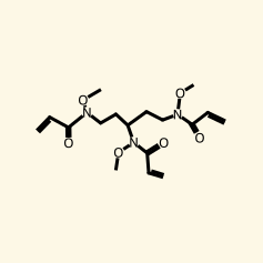 C=CC(=O)N(CCC(CCN(OC)C(=O)C=C)N(OC)C(=O)C=C)OC